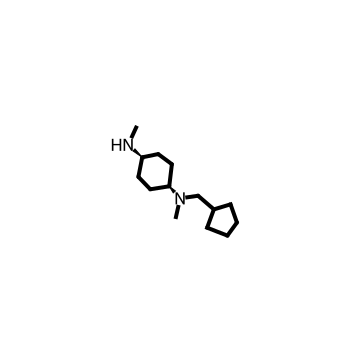 CN[C@H]1CC[C@@H](N(C)CC2CCCC2)CC1